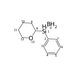 B[SiH](c1ccccc1)C1CCCCO1